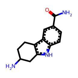 NC(=O)c1ccc2[nH]c3c(c2c1)CCC(N)C3